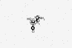 C[C@@]12OC(c3ccc(Cl)cc3)O[C@@H]1[C@@H](CO)O[C@H]2c1coc2c(N)ncnc12